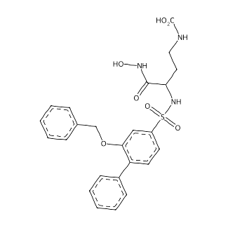 O=C(O)NCCC(NS(=O)(=O)c1ccc(-c2ccccc2)c(OCc2ccccc2)c1)C(=O)NO